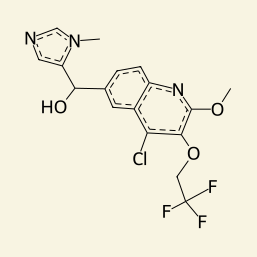 COc1nc2ccc(C(O)c3cncn3C)cc2c(Cl)c1OCC(F)(F)F